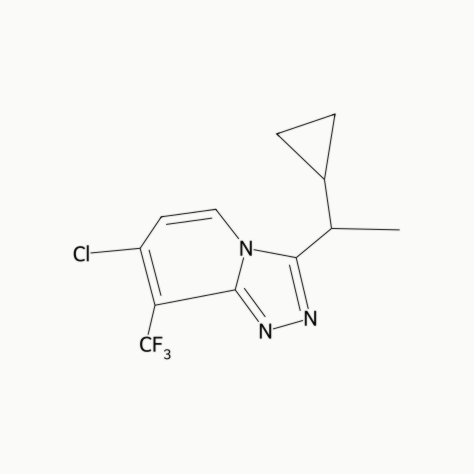 CC(c1nnc2c(C(F)(F)F)c(Cl)ccn12)C1CC1